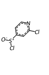 [O-][S+](Cl)c1ccnc(Cl)c1